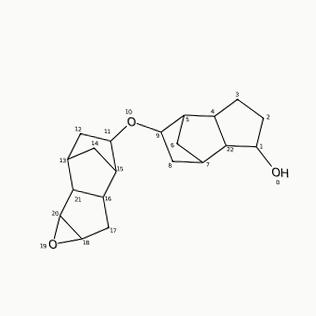 OC1CCC2C3CC(CC3OC3CC4CC3C3CC5OC5C43)C12